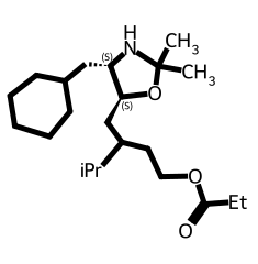 CCC(=O)OCCC(C[C@@H]1OC(C)(C)N[C@H]1CC1CCCCC1)C(C)C